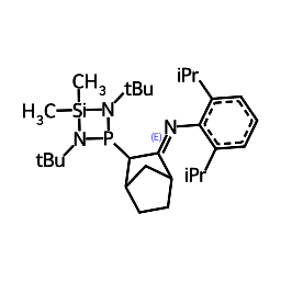 CC(C)c1cccc(C(C)C)c1/N=C1\C2CCC(C2)C1P1N(C(C)(C)C)[Si](C)(C)N1C(C)(C)C